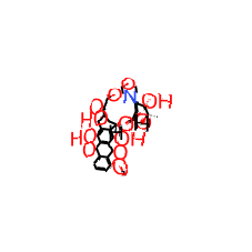 COc1cccc2c1C(=O)c1c(O)c3c(c(O)c1C2=O)C[C@]1(O)C[C@@H]3O[C@H]2CC([C@H](O)[C@H](C)O2)N2CCOCC2OCC1=O